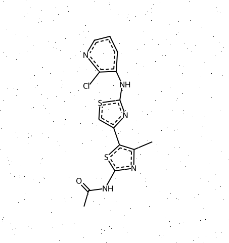 CC(=O)Nc1nc(C)c(-c2csc(Nc3cccnc3Cl)n2)s1